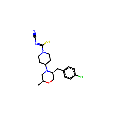 C[C@H]1CN(C2CCN(/C(S)=N/C#N)CC2)[C@@H](Cc2ccc(Cl)cc2)CO1